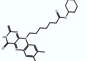 C=c1nc2c(c(=O)[nH]1)=Nc1cc(C)c(C)cc1N2CCCCCCC(=O)OC1CCCCC1